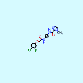 Cn1ccnc1C(=O)NC12CC(NC(=O)COc3ccc(Cl)c(F)c3)(C1)C2